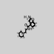 Nc1cc2c(C(=O)NCCN3CCCCC3)cccc2o1